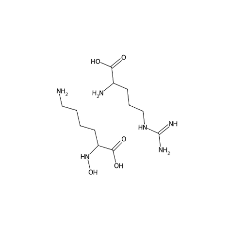 N=C(N)NCCCC(N)C(=O)O.NCCCCC(NO)C(=O)O